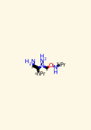 CCC/C(=C/N)N(N)CONC(C)C